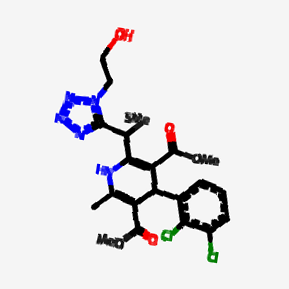 COC(=O)C1=C(C)NC(C(SC)c2nnnn2CCO)=C(C(=O)OC)C1c1cccc(Cl)c1Cl